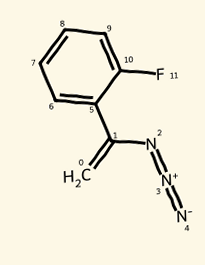 C=C(N=[N+]=[N-])c1ccccc1F